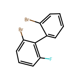 Fc1cccc(Br)c1-c1ccccc1Br